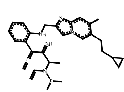 C=C=C(C(=N)C(C)N(C=C)P(C)C)c1ccccc1NCc1cn2cc(CCC3CC3)c(C)cc2n1